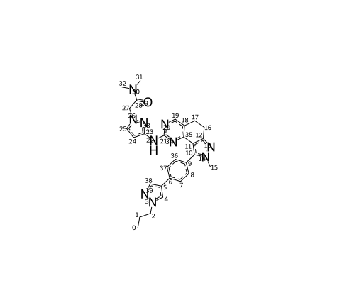 CCCn1cc(-c2ccc(-c3c4c(nn3C)CCc3cnc(Nc5ccn(CC(=O)N(C)C)n5)nc3-4)cc2)cn1